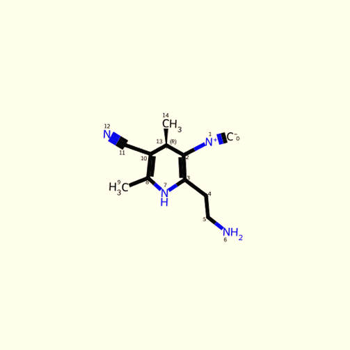 [C-]#[N+]C1=C(CCN)NC(C)=C(C#N)[C@H]1C